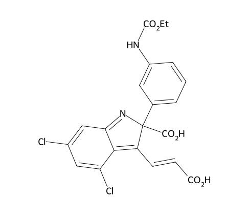 CCOC(=O)Nc1cccc(C2(C(=O)O)N=c3cc(Cl)cc(Cl)c3=C2C=CC(=O)O)c1